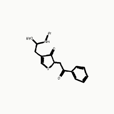 COC(CC1=CSC(CC(=O)c2ccccc2)C1=O)NC(C)C